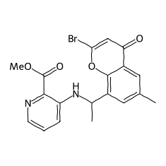 COC(=O)c1ncccc1NC(C)c1cc(C)cc2c(=O)cc(Br)oc12